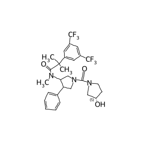 CN(C(=O)C(C)(C)c1cc(C(F)(F)F)cc(C(F)(F)F)c1)C1CN(C(=O)N2CC[C@H](O)C2)CC1c1ccccc1